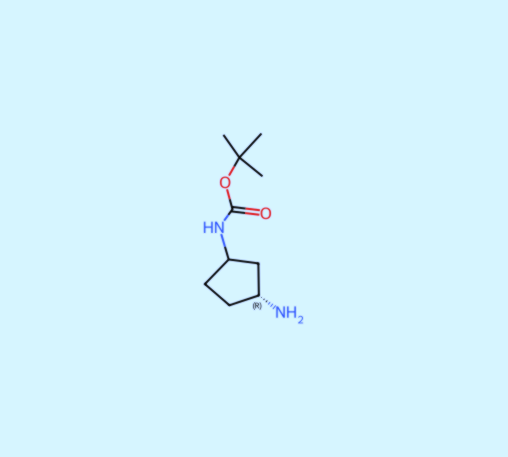 CC(C)(C)OC(=O)NC1CC[C@@H](N)C1